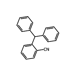 N#Cc1ccccc1C(c1ccccc1)c1ccccc1